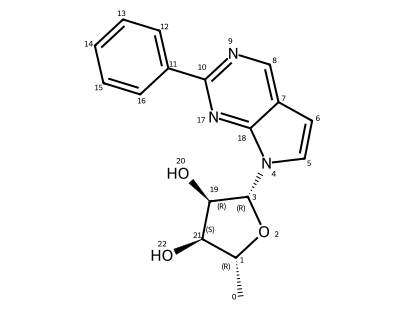 C[C@H]1O[C@@H](n2ccc3cnc(-c4ccccc4)nc32)[C@H](O)[C@@H]1O